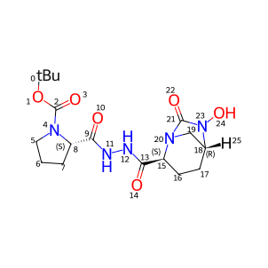 CC(C)(C)OC(=O)N1CCC[C@H]1C(=O)NNC(=O)[C@@H]1CC[C@@H]2CN1C(=O)N2O